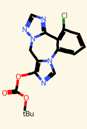 CC(C)(C)OC(=O)Oc1ncn2c1Cn1ncnc1-c1c(Cl)cccc1-2